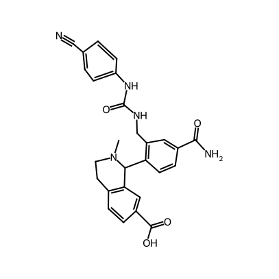 CN1CCc2ccc(C(=O)O)cc2C1c1ccc(C(N)=O)cc1CNC(=O)Nc1ccc(C#N)cc1